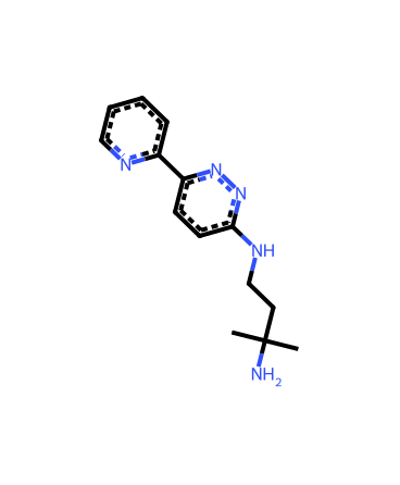 CC(C)(N)CCNc1ccc(-c2ccccn2)nn1